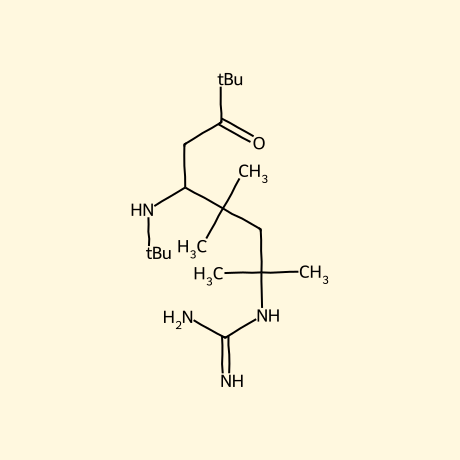 CC(C)(C)NC(CC(=O)C(C)(C)C)C(C)(C)CC(C)(C)NC(=N)N